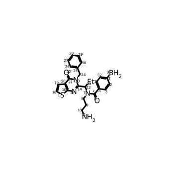 Bc1ccc(C(=O)N(CCCN)C(CC)c2nc3sccc3c(=O)n2Cc2ccccc2)cc1